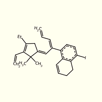 C=C/C=C(\C=C1/CC(CC)=C(C=C)C1(C)C)c1ccc(I)c2c1C=CCC2